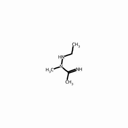 CCNN(C)C(C)=N